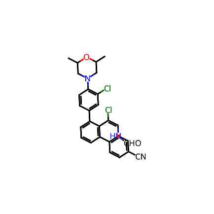 CC1CN(c2ccc(-c3cccc(-c4ccc(C#N)cc4)c3/C(Cl)=C\NC=O)cc2Cl)CC(C)O1